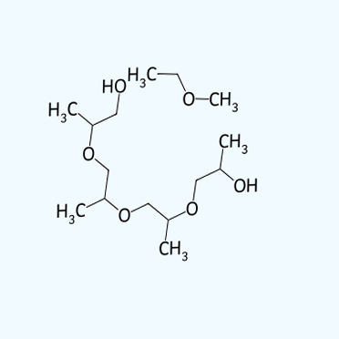 CC(O)COC(C)COC(C)COC(C)CO.CCOC